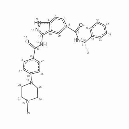 C[C@H](NC(=O)c1ccc2[nH]nc(NC(=O)c3ccc(N4CCN(C)CC4)cc3)c2c1)c1ccccc1